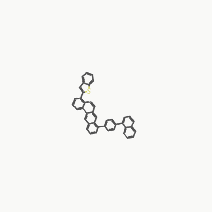 c1ccc2sc(-c3cccc4c3ccc3cc5c(-c6ccc(-c7cccc8ccccc78)cc6)cccc5cc34)cc2c1